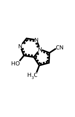 Cc1cc(C#N)n2ncnc(O)c12